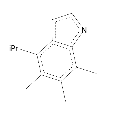 Cc1c(C)c(C)c2c(ccn2C)c1C(C)C